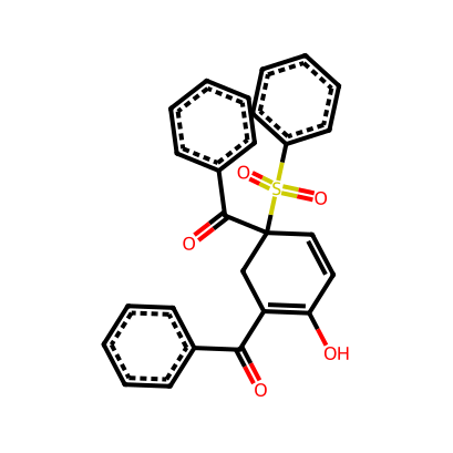 O=C(C1=C(O)C=CC(C(=O)c2ccccc2)(S(=O)(=O)c2ccccc2)C1)c1ccccc1